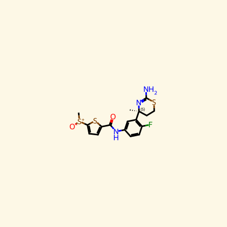 C[S+]([O-])c1ccc(C(=O)Nc2ccc(F)c([C@]3(C)CCSC(N)=N3)c2)s1